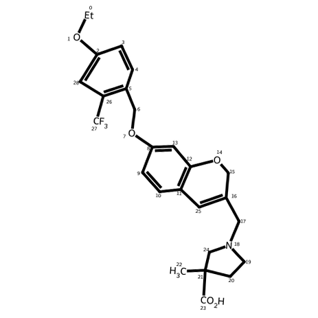 CCOc1ccc(COc2ccc3c(c2)OCC(CN2CCC(C)(C(=O)O)C2)=C3)c(C(F)(F)F)c1